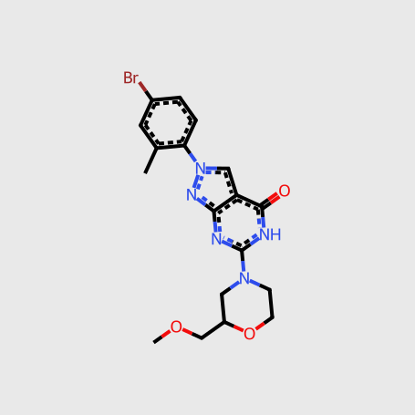 COCC1CN(c2nc3nn(-c4ccc(Br)cc4C)cc3c(=O)[nH]2)CCO1